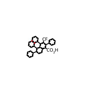 O=C(O)c1c(-c2ccccc2)c(C(F)(F)F)c(-c2ccccc2)c2c(-c3ccccc3)c(-c3ccccc3)ccc12